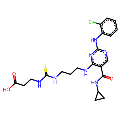 O=C(O)CCNC(=S)NCCCNc1nc(Nc2ccccc2Cl)ncc1C(=O)NC1CC1